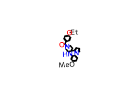 CCOc1ccc(C(=O)N2CCC3(CC2)Nc2cc(OC)ccc2-n2cccc23)cc1